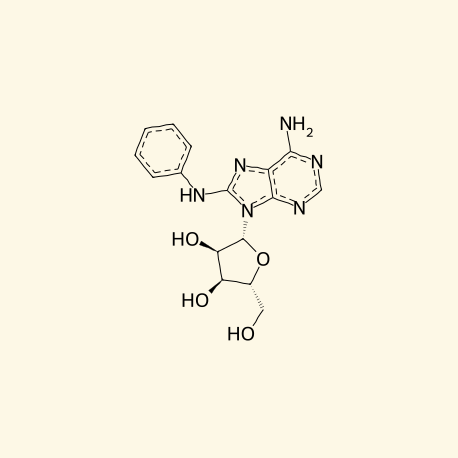 Nc1ncnc2c1nc(Nc1ccccc1)n2[C@@H]1O[C@H](CO)[C@@H](O)[C@H]1O